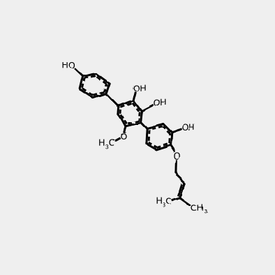 COc1cc(-c2ccc(O)cc2)c(O)c(O)c1-c1ccc(OCC=C(C)C)c(O)c1